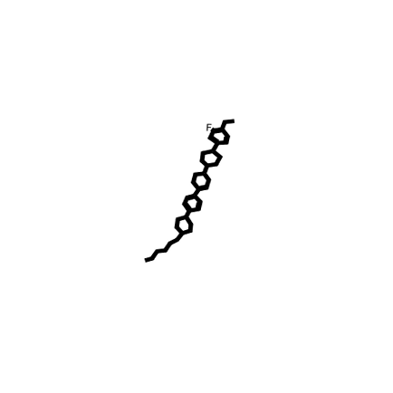 CCCCCCC1CCC(c2ccc(C3=CCC(C4CCC(c5ccc(CC)c(F)c5)CC4)CC3)cc2)CC1